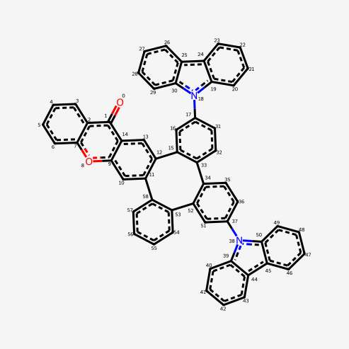 O=c1c2ccccc2oc2cc3c(cc12)-c1cc(-n2c4ccccc4c4ccccc42)ccc1-c1ccc(-n2c4ccccc4c4ccccc42)cc1-c1ccccc1-3